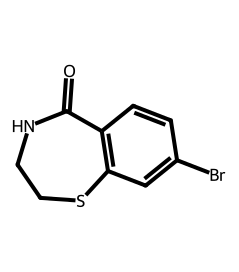 O=C1NCCSc2cc(Br)ccc21